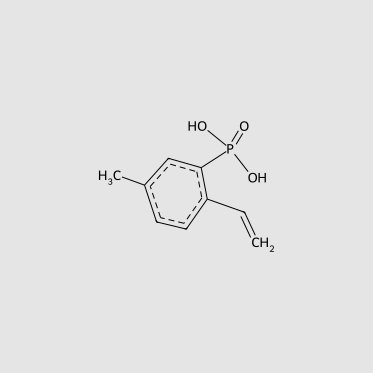 C=Cc1ccc(C)cc1P(=O)(O)O